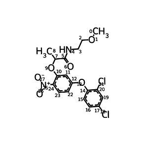 COCCNC(=O)C(C)Oc1cc(Oc2ccc(Cl)cc2Cl)ccc1[N+](=O)[O-]